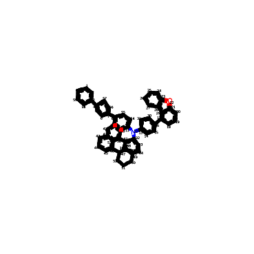 c1ccc(-c2ccc(-c3ccc(N(c4ccc(-c5cccc6oc7ccccc7c56)cc4)c4ccccc4-c4cccc5cccc(C6CCCCC6)c45)cc3)cc2)cc1